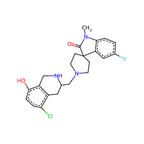 CN1C(=O)C2(CCN(CC3Cc4c(Cl)ccc(O)c4CN3)CC2)c2cc(F)ccc21